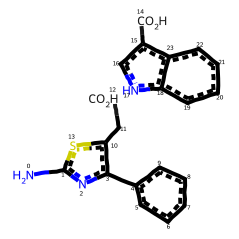 Nc1nc(-c2ccccc2)c(CC(=O)O)s1.O=C(O)c1c[nH]c2ccccc12